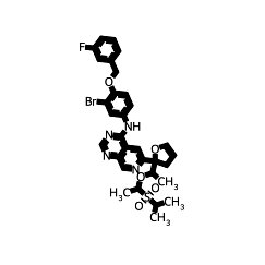 CC(OC(C)S(=O)(=O)C(C)C)C1(c2cc3c(Nc4ccc(OCc5cccc(F)c5)c(Br)c4)ncnc3cn2)CC=CO1